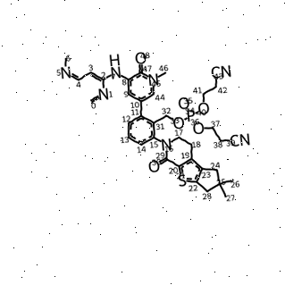 C=N/C(=C\C=N/C)Nc1cc(-c2cccc(N3CCc4c(sc5c4CC(C)(C)C5)C3=O)c2COP(=O)(OCCC#N)OCCC#N)cn(C)c1=O